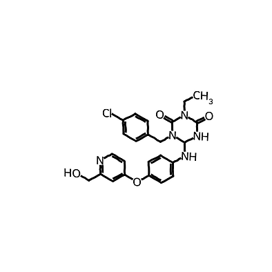 CCN1C(=O)NC(Nc2ccc(Oc3ccnc(CO)c3)cc2)N(Cc2ccc(Cl)cc2)C1=O